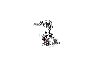 CC[C@H](C)[C@@H]1NC(=O)CNC(=O)[C@H]2Cc3c([nH]c4ccccc34)SC[C@H](NC(=O)CNC1=O)C(=O)NC(CC(=O)NCc1ccc(NC(=O)[C@H](C)NC(=O)C(NC(=O)CCN3C(=O)CC(SC)C3=O)C(C)C)cc1)C(=O)N1C[C@H](O)C[C@H]1C(=O)N[C@@H]([C@@H](C)[C@@H](O)CO)C(=O)N2